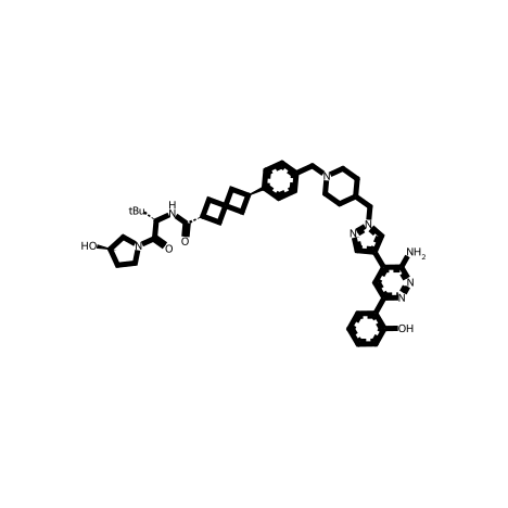 CC(C)(C)[C@H](NC(=O)[C@H]1CC2(C1)C[C@H](c1ccc(CN3CCC(Cn4cc(-c5cc(-c6ccccc6O)nnc5N)cn4)CC3)cc1)C2)C(=O)N1CC[C@@H](O)C1